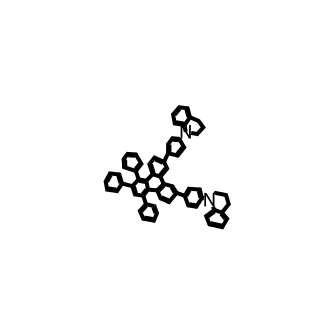 c1ccc(-c2cc(-c3ccccc3)c3c4ccc(-c5ccc(N6CCCc7ccccc76)cc5)cc4c4cc(-c5ccc(N6CCCc7ccccc76)cc5)ccc4c3c2-c2ccccc2)cc1